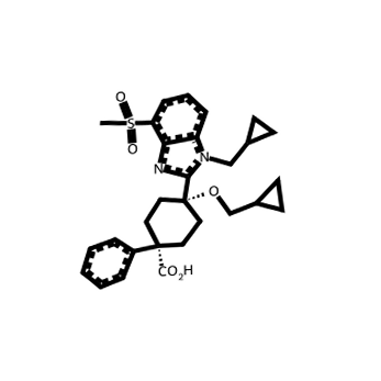 CS(=O)(=O)c1cccc2c1nc([C@]1(OCC3CC3)CC[C@](C(=O)O)(c3ccccc3)CC1)n2CC1CC1